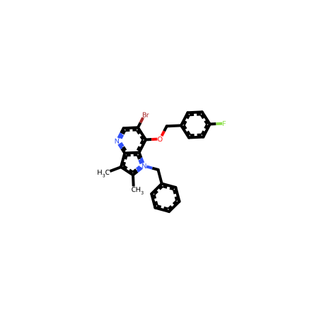 Cc1c(C)n(Cc2ccccc2)c2c(OCc3ccc(F)cc3)c(Br)cnc12